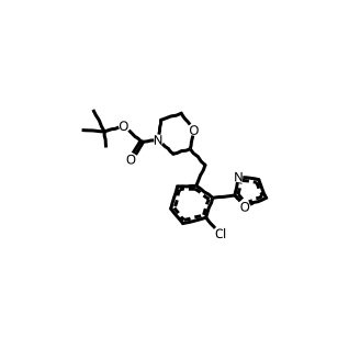 CC(C)(C)OC(=O)N1CCOC(Cc2cccc(Cl)c2-c2ncco2)C1